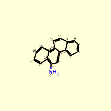 Nc1cc2c3ccccc3ccc2c2ccccc12